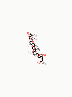 CC1=CC(=O)OC2CC3OC4C[C@@H](C)C5OC6CC7O[C@]8(C)C/C=C\C9OC%10CC%11OC(CC(C)CO)CC(O)[C@]%11(C)OC%10CC9OC8C[C@]7(C)O[C@]6(C)CCC5OC4C[C@]3(C)OC12